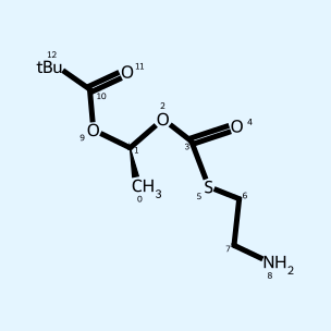 C[C@H](OC(=O)SCCN)OC(=O)C(C)(C)C